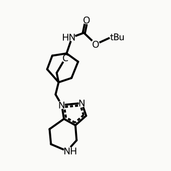 CC(C)(C)OC(=O)NC12CCC(Cn3ncc4c3CCNC4)(CC1)CC2